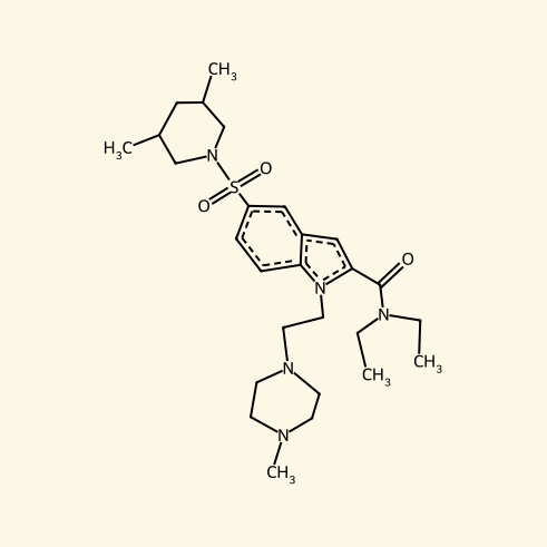 CCN(CC)C(=O)c1cc2cc(S(=O)(=O)N3CC(C)CC(C)C3)ccc2n1CCN1CCN(C)CC1